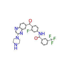 O=C(Nc1ccc(C(=O)c2ccc3ncc(N4CCNCC4)nc3c2)c(F)c1)c1cccc(C(F)(F)F)c1